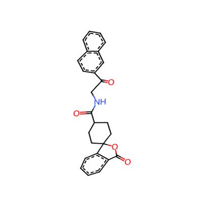 O=C(CNC(=O)C1CCC2(CC1)OC(=O)c1ccccc12)c1ccc2ccccc2c1